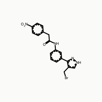 O=C(Cc1ccc([N+](=O)[O-])cc1)Nc1cccc(-c2n[nH]cc2CBr)c1